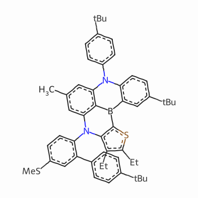 CCc1sc2c(c1CC)N(c1ccc(SC)cc1-c1ccc(C(C)(C)C)cc1)c1cc(C)cc3c1B2c1cc(C(C)(C)C)ccc1N3c1ccc(C(C)(C)C)cc1